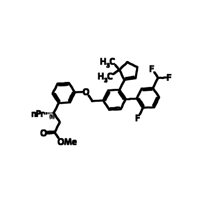 CCC[C@@H](CC(=O)OC)c1cccc(OCc2ccc(-c3cc(C(F)F)ccc3F)c(C3=CCCC3(C)C)c2)c1